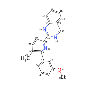 CCOc1cccc(-c2nc(-c3ncc4ccccc4n3)ccc2C)c1